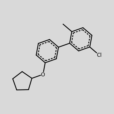 Cc1ccc(Cl)cc1-c1cccc(OC2CCCC2)c1